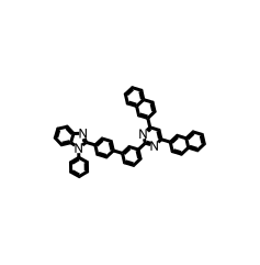 c1ccc(-n2c(-c3ccc(-c4cccc(-c5nc(-c6ccc7ccccc7c6)cc(-c6ccc7ccccc7c6)n5)c4)cc3)nc3ccccc32)cc1